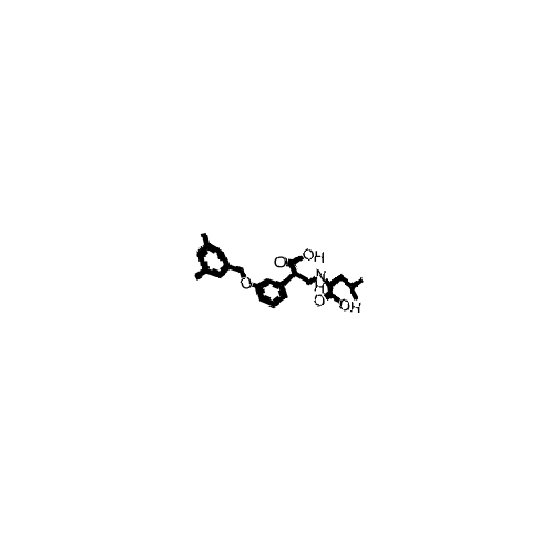 Cc1cc(C)cc(COc2cccc(C(CNC(CC(C)C)C(=O)O)C(=O)O)c2)c1